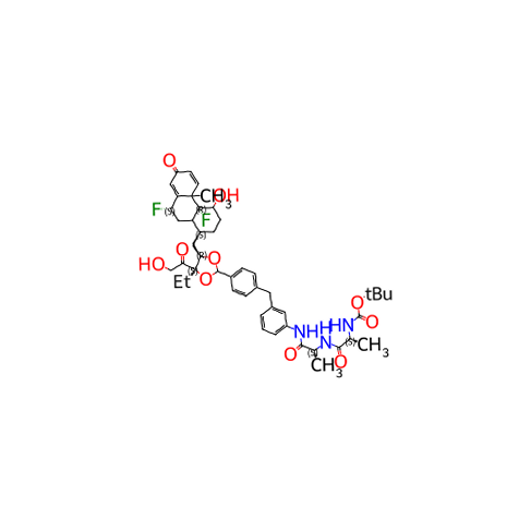 CC[C@]1(C(=O)CO)OC(c2ccc(Cc3cccc(NC(=O)[C@H](C)NC(=O)[C@H](C)NC(=O)OC(C)(C)C)c3)cc2)O[C@@H]1C[C@@H]1CCC(O)[C@@]2(F)C1C[C@H](F)C1=CC(=O)C=CC12C